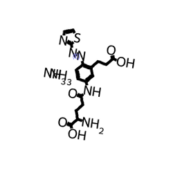 N.N.NC(CCC(=O)Nc1ccc(/N=N/c2nccs2)c(CCC(=O)O)c1)C(=O)O